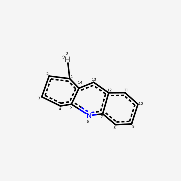 [2H]c1cccc2nc3ccccc3cc12